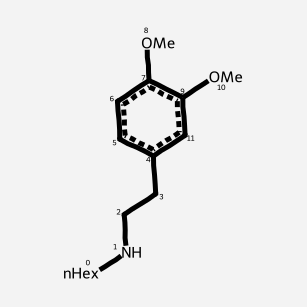 CCCCCCNCCc1ccc(OC)c(OC)c1